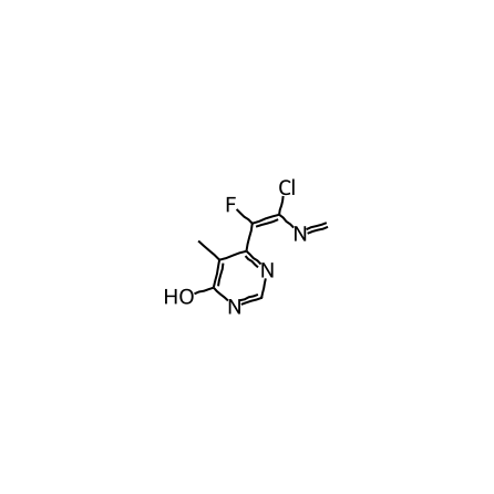 C=N/C(Cl)=C(/F)c1ncnc(O)c1C